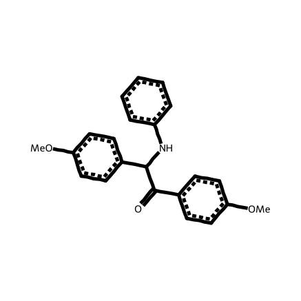 COc1ccc(C(=O)C(Nc2ccccc2)c2ccc(OC)cc2)cc1